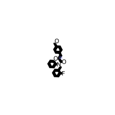 O=Cc1ccc(/C=C2\Oc3ccccc3N(Cc3ccccc3F)C2=O)cc1